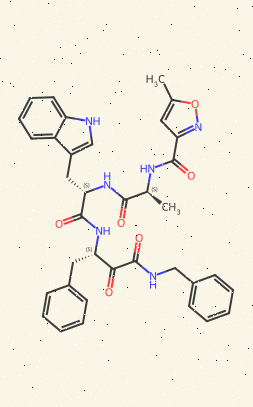 Cc1cc(C(=O)N[C@@H](C)C(=O)N[C@@H](Cc2c[nH]c3ccccc23)C(=O)N[C@@H](Cc2ccccc2)C(=O)C(=O)NCc2ccccc2)no1